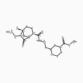 CC(C)(C)OC(=O)N1CCOC(CONC(=O)[C@@H]2CC[C@@H]3CN2C(=O)N3OS(=O)(=O)O)C1